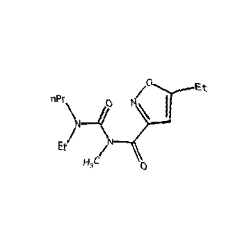 CCCN(CC)C(=O)N(C)C(=O)c1cc(CC)on1